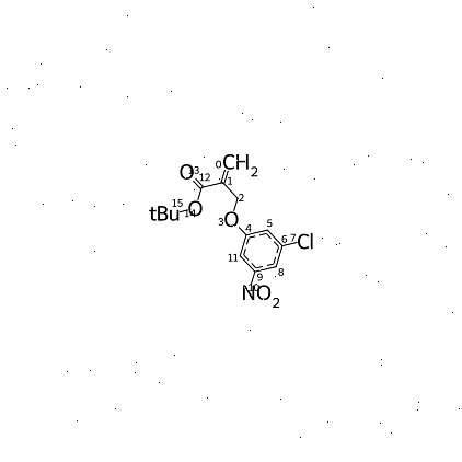 C=C(COc1cc(Cl)cc([N+](=O)[O-])c1)C(=O)OC(C)(C)C